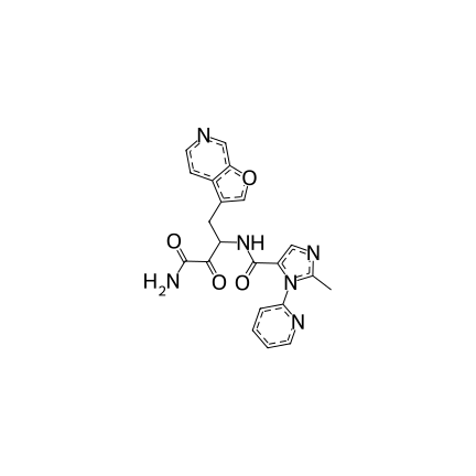 Cc1ncc(C(=O)NC(Cc2coc3cnccc23)C(=O)C(N)=O)n1-c1ccccn1